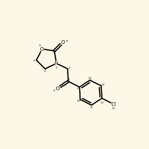 O=C(CN1CCOC1=O)c1ccc(Cl)cc1